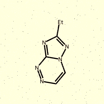 CCc1nc2nnccn2n1